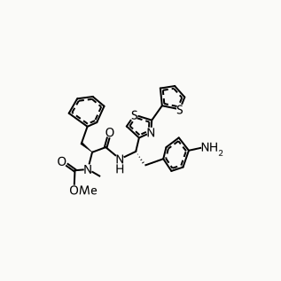 COC(=O)N(C)[C@@H](Cc1ccccc1)C(=O)N[C@@H](Cc1ccc(N)cc1)c1csc(-c2cccs2)n1